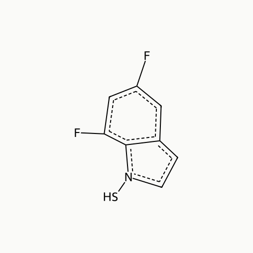 Fc1cc(F)c2c(ccn2S)c1